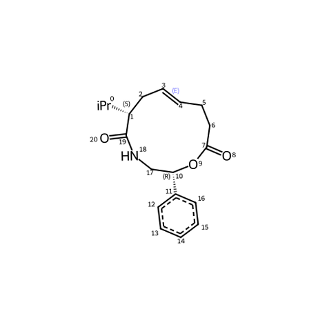 CC(C)[C@@H]1C/C=C/CCC(=O)O[C@H](c2ccccc2)CNC1=O